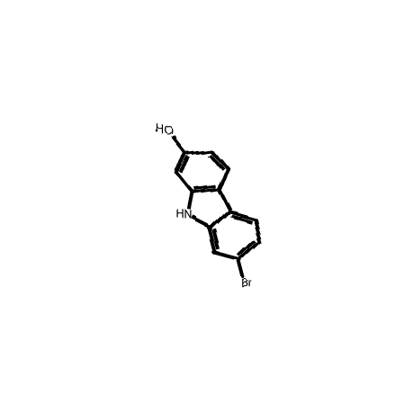 Oc1ccc2c(c1)[nH]c1cc(Br)ccc12